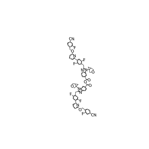 N#Cc1ccc(COc2cccc(-c3cc(F)c(Cc4nc5ccc(C(=O)OC(=O)c6ccc7nc(Cc8cc(F)c(-c9cccc(OCc%10ccc(C#N)cc%10F)n9)cc8F)n(C89COCC8C9)c7c6)cc5n4C45COCC4C5)cc3F)n2)c(F)c1